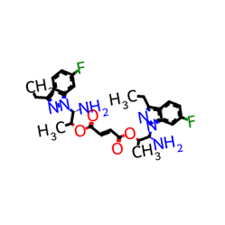 CCc1nn([C@H](N)C(C)OC(=O)/C=C/C(=O)OC(C)[C@@H](N)n2nc(CC)c3ccc(F)cc32)c2cc(F)ccc12